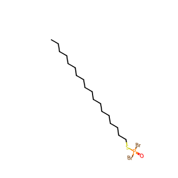 CCCCCCCCCCCCCCCCCCSP(=O)(Br)Br